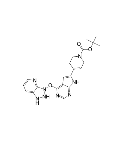 CC(C)(C)OC(=O)N1CC=C(c2cc3c(ON4NNc5cccnc54)ncnc3[nH]2)CC1